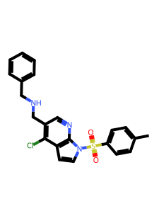 Cc1ccc(S(=O)(=O)n2ccc3c(Cl)c(CNCc4ccccc4)cnc32)cc1